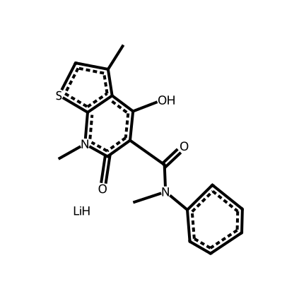 Cc1csc2c1c(O)c(C(=O)N(C)c1ccccc1)c(=O)n2C.[LiH]